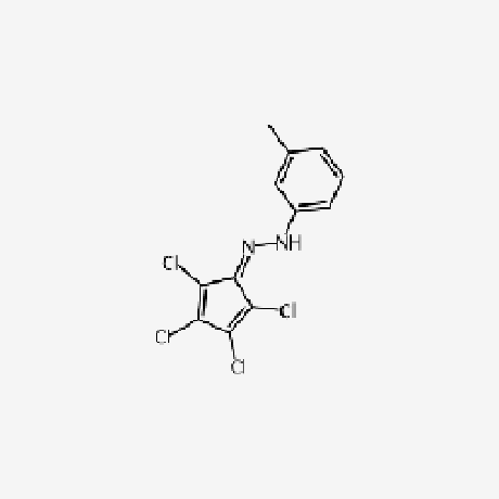 Cc1cccc(NN=C2C(Cl)=C(Cl)C(Cl)=C2Cl)c1